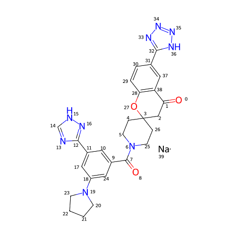 O=C1CC2(CCN(C(=O)c3cc(-c4nc[nH]n4)cc(N4CCCC4)c3)CC2)Oc2ccc(-c3nnn[nH]3)cc21.[Na]